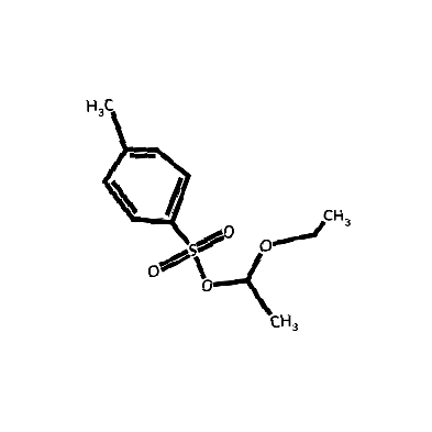 CCOC(C)OS(=O)(=O)c1ccc(C)cc1